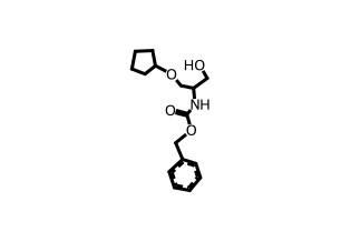 O=C(NC(CO)COC1CCCC1)OCc1ccccc1